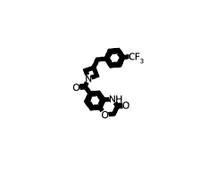 O=C1COc2ccc(C(=O)N3CC(Cc4ccc(C(F)(F)F)cc4)C3)cc2N1